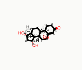 C[C@]12CC[C@H]3[C@@H](CCC4=CC(=O)CC[C@@]43CO)[C@@H]1[C@H](O)C[C@@H]2O